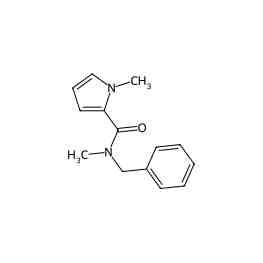 CN(Cc1ccccc1)C(=O)c1cccn1C